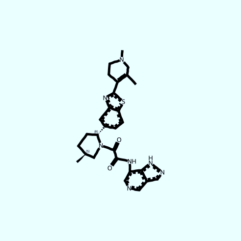 CC1=C(c2nc3cc([C@H]4CC[C@H](C)CN4C(=O)C(=O)Nc4cncc5cn[nH]c45)ccc3s2)CCN(C)C1